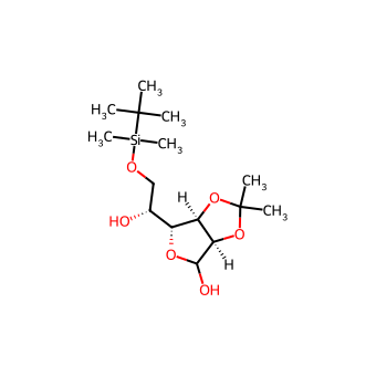 CC1(C)O[C@@H]2[C@@H]([C@H](O)CO[Si](C)(C)C(C)(C)C)OC(O)[C@@H]2O1